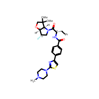 COC1(OC)CO[C@H]2[C@@H]1N(C(=O)[C@H](CC(C)C)NC(=O)c1ccc(-c3csc(N4CCN(C)CC4)n3)cc1)C[C@@H]2F